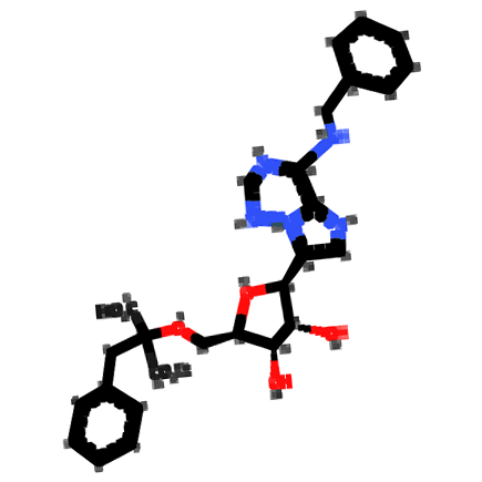 CCOC(=O)C(Cc1ccccc1)(OC[C@H]1O[C@@H](c2cnc3c(NCc4ccccc4)ncnn23)[C@H](O)[C@@H]1O)C(=O)OCC